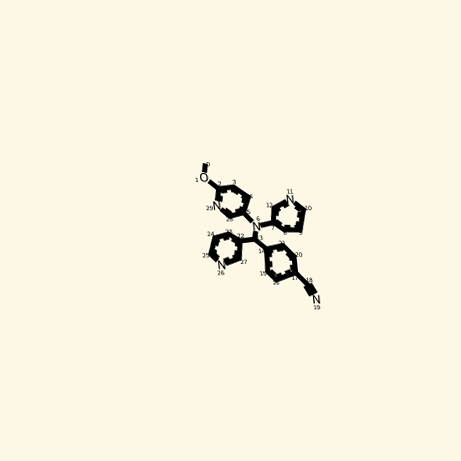 COc1ccc(N(c2cccnc2)C(c2ccc(C#N)cc2)c2cccnc2)cn1